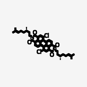 CC(C)=CCC[C@H](C)CCN1C(=O)c2ccc3c4c(Cl)cc5c6c(ccc(c7c(Cl)cc(c2c37)C1=O)c64)C(=O)N(CC[C@@H](C)CCC=C(C)C)C5=O